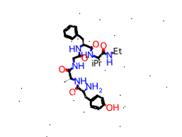 CCNC(=O)[C@H](NC(=O)[C@H](Cc1ccccc1)NC(=O)CNC(=O)[C@@H](C)NC(=O)[C@@H](N)Cc1ccc(O)cc1)C(C)C